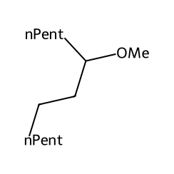 [CH2]OC(CCCCC)CCCCCCC